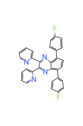 Fc1ccc(-c2ccc(-c3ccc(F)cc3)c3nc(-c4ccccn4)c(-c4ccccn4)nc23)cc1